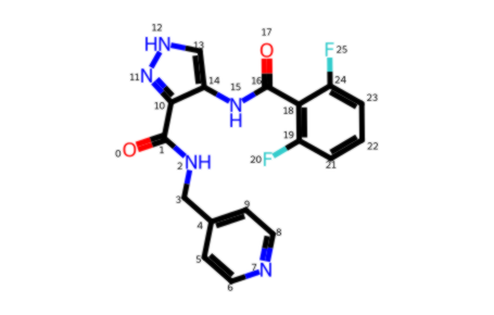 O=C(NCc1ccncc1)c1n[nH]cc1NC(=O)c1c(F)cccc1F